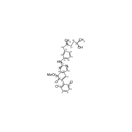 COn1c(=O)c(-c2c(Cl)cccc2Cl)cc2cnc(Nc3cccc(CN(C)CC[C@@H](C)O)c3)nc21